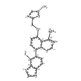 Cn1cnc(COc2ccc(-c3ccc4ncsc4c3F)c3ncnc(N)c23)n1